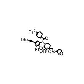 CC1=CC[C@H](C(=O)N(c2cc(C#CC(C)(C)C)sc2C(=O)O)[C@H]2CC[C@@](O)(CO[C@H]3CCOC3)CC2)CC1.CCO